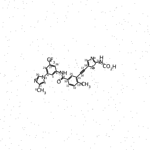 Cc1cn(-c2cc(NC(=O)c3ccc(C)c(C#Cc4cnc(NC(=O)O)s4)c3)cc(C(F)(F)F)c2)cn1